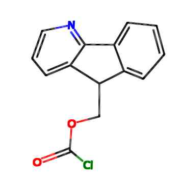 O=C(Cl)OCC1c2ccccc2-c2ncccc21